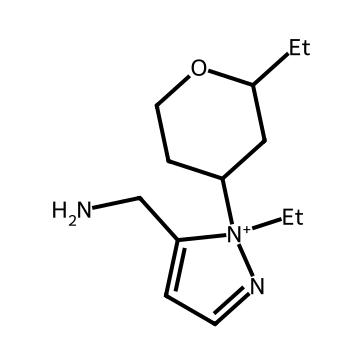 CCC1CC([N+]2(CC)N=CC=C2CN)CCO1